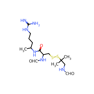 CC(CCCNC(=N)N)NC(=O)C(CSSC(C)(C)CNC=O)NC=O